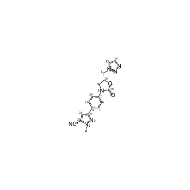 Cn1nc(-c2ccc(N3C[C@H](Cn4ccnn4)OC3=O)cc2)cc1C#N